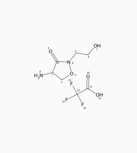 NC1CON(CCO)C1=O.O=C(O)C(F)(F)F